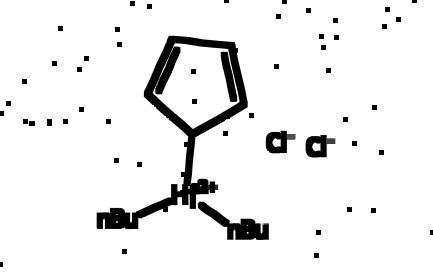 CCC[CH2][Hf+2]([CH2]CCC)[CH]1C=CC=C1.[Cl-].[Cl-]